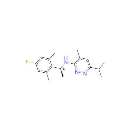 Cc1cc(C(C)C)nnc1N[C@@H](C)c1c(C)cc(F)cc1C